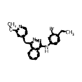 CCc1ccc(Nc2nnc(Cc3ccnc(OC)c3)c3ccccc23)cc1Br